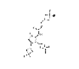 Cn1nc(C2CC(F)(F)C2)c(C2CC(F)(F)C2)c1NC(=O)OCC1CC(F)(F)C1